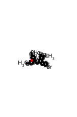 COc1ccc(C2(c3ccc(OC)cc3)C=Cc3c4c(c5cc(OC)c(OC)cc5c3O2)-c2ccc(Br)cc2C4)cc1